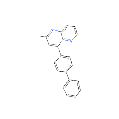 Cc1cc(-c2ccc(-c3ccccc3)cc2)c2ncccc2n1